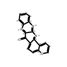 O=c1c2ccc3occcc3c2nc2nc3ccccc3nc12